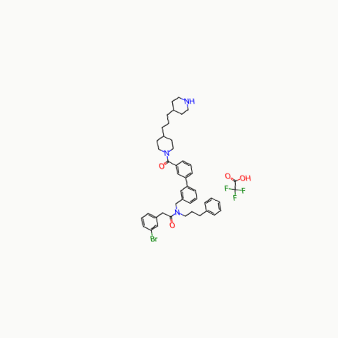 O=C(Cc1cccc(Br)c1)N(CCCc1ccccc1)Cc1cccc(-c2cccc(C(=O)N3CCC(CCCC4CCNCC4)CC3)c2)c1.O=C(O)C(F)(F)F